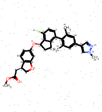 COC(=O)C[C@@H]1COc2cc(O[C@@H]3CCc4c(-c5c(C)cc(-c6cnn(C)c6)cc5C)ccc(F)c43)ccc21